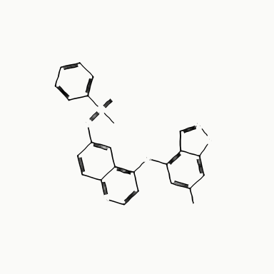 CS(=O)(=Nc1ccc2nccc(Nc3cc(Cl)cc4[nH]ncc34)c2c1)c1ccccc1